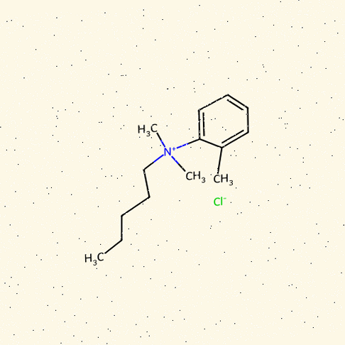 CCCCC[N+](C)(C)c1ccccc1C.[Cl-]